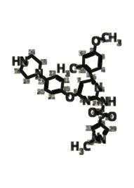 COc1ccc(-c2cc(Oc3ccc(N4CCNCC4)cc3)nc(NS(=O)(=O)c3cnn(C)c3)n2)c(C)c1